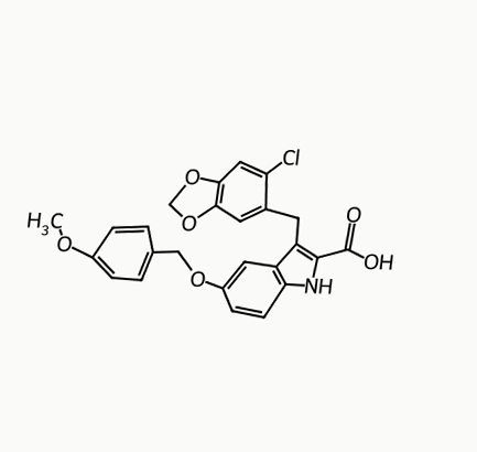 COc1ccc(COc2ccc3[nH]c(C(=O)O)c(Cc4cc5c(cc4Cl)OCO5)c3c2)cc1